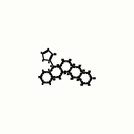 C1=CCC(c2c3ccccc3cc3c2ccc2cc4ccccc4cc23)=C1